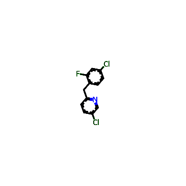 Fc1cc(Cl)ccc1Cc1ccc(Cl)cn1